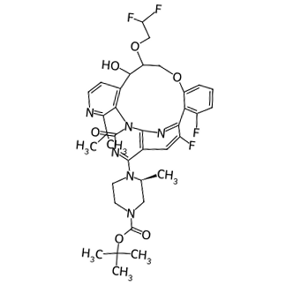 CC(C)c1nccc2c1-n1c(=O)nc(N3CCN(C(=O)OC(C)(C)C)C[C@@H]3C)c3cc(F)c(nc31)-c1c(F)cccc1OCC(OCC(F)F)C2O